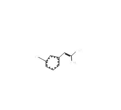 CC(C)=Cc1cccc(Cl)c1